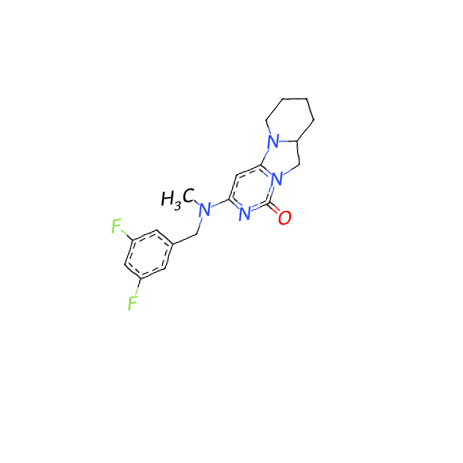 CN(Cc1cc(F)cc(F)c1)c1cc2n(c(=O)n1)CC1CCCCN21